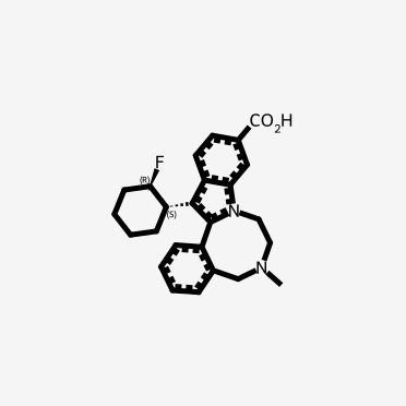 CN1CCn2c(c([C@@H]3CCCC[C@H]3F)c3ccc(C(=O)O)cc32)-c2ccccc2C1